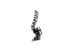 CCCCCCCCCCCCCCCc1cc2cc(C(=O)OCC)ccc2[nH]1